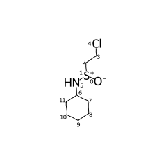 [O-][S+](CCCl)NC1CCCCC1